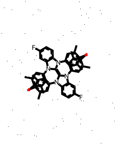 Cc1cc(N2/C(=C3/N(c4cc(C)c(C)c(C)c4)c4ccc(F)cc4N3c3cc(C)c(C)c(C)c3)N(c3cc(C)c(C)c(C)c3)c3cc(F)ccc32)cc(C)c1C